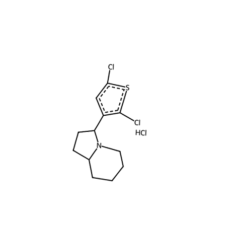 Cl.Clc1cc(C2CCC3CCCCN32)c(Cl)s1